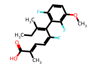 CC\C(C)=C(/C(F)=C\C=C(/C)C(=O)O)c1c(F)ccc(OC)c1F